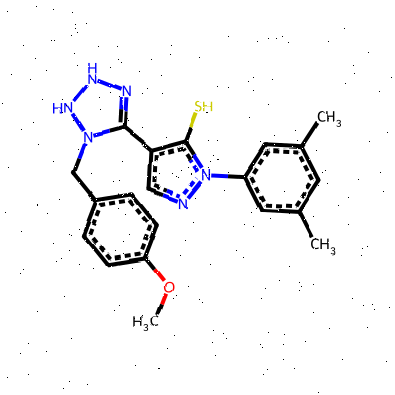 COc1ccc(CN2NNN=C2c2cnn(-c3cc(C)cc(C)c3)c2S)cc1